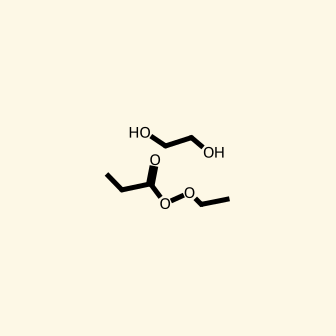 CCOOC(=O)CC.OCCO